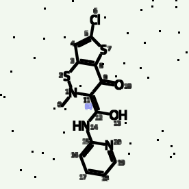 CN1Sc2cc(Cl)sc2C(=O)/C1=C(\O)Nc1ccccn1